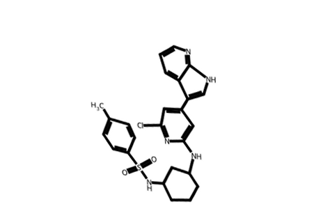 Cc1ccc(S(=O)(=O)NC2CCCC(Nc3cc(-c4c[nH]c5ncccc45)cc(Cl)n3)C2)cc1